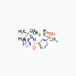 CC(C)(O)c1cccc(S(N)(=O)=N[Si](C)(C)C(C)(C)C)c1